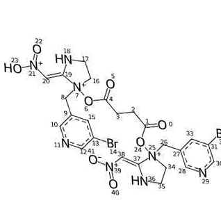 O=C(CCC(=O)O[N+]1(Cc2cncc(Br)c2)CCNC1=C[N+](=O)O)O[N+]1(Cc2cncc(Br)c2)CCNC1=C[N+](=O)[O-]